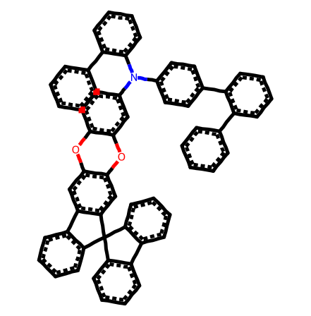 c1ccc(-c2ccccc2-c2ccc(N(c3ccc4c(c3)Oc3cc5c(cc3O4)-c3ccccc3C53c4ccccc4-c4ccccc43)c3ccccc3-c3ccccc3)cc2)cc1